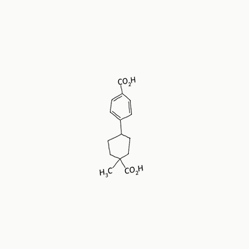 CC1(C(=O)O)CCC(c2ccc(C(=O)O)cc2)CC1